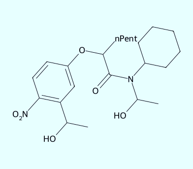 CCCCCC(Oc1ccc([N+](=O)[O-])c(C(C)O)c1)C(=O)N(C(C)O)C1CCCCC1